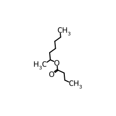 CCCCCC(C)OC(=O)CCC